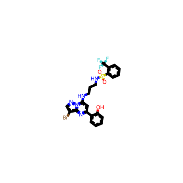 O=S(=O)(NCCCNc1cc(-c2ccccc2O)nc2c(Br)cnn12)c1ccccc1C(F)(F)F